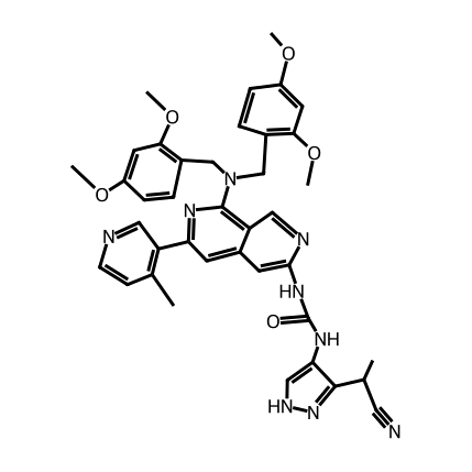 COc1ccc(CN(Cc2ccc(OC)cc2OC)c2nc(-c3cnccc3C)cc3cc(NC(=O)Nc4c[nH]nc4C(C)C#N)ncc23)c(OC)c1